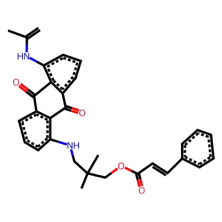 C=C(C)Nc1cccc2c1C(=O)c1cccc(NCC(C)(C)COC(=O)/C=C/c3ccccc3)c1C2=O